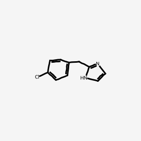 Clc1ccc(Cc2ncc[nH]2)cc1